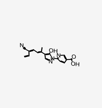 C=C/C(C#N)=C\C=C(/C)c1cnn(-c2ccc(C(=O)O)cn2)c1O